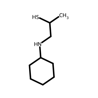 CC(S)CNC1CCCCC1